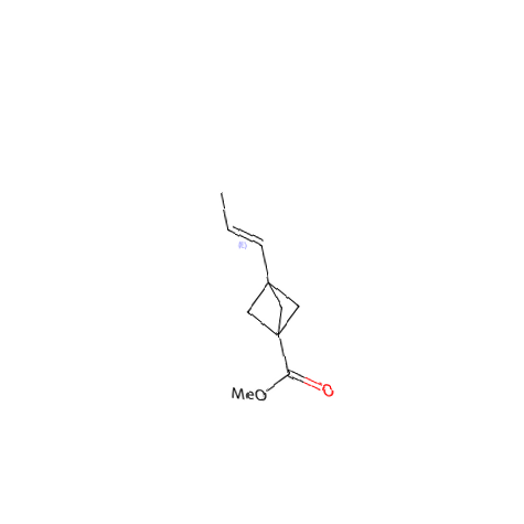 C/C=C/C12CC(C(=O)OC)(C1)C2